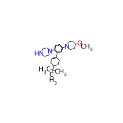 COC1CCN(c2ccc(N3CCNCC3)c(C3=CCC(C(C)(C)C)CC3)c2)CC1